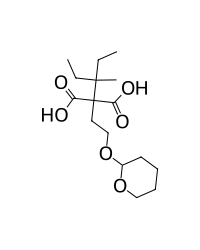 CCC(C)(CC)C(CCOC1CCCCO1)(C(=O)O)C(=O)O